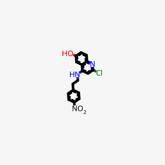 O=[N+]([O-])c1ccc(CCNc2cc(Cl)nc3ccc(O)cc23)cc1